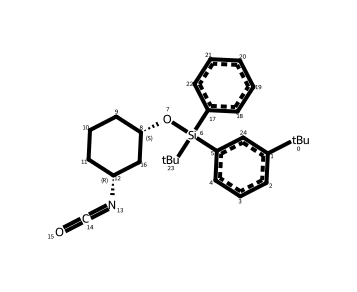 CC(C)(C)c1cccc([Si](O[C@H]2CCC[C@@H](N=C=O)C2)(c2ccccc2)C(C)(C)C)c1